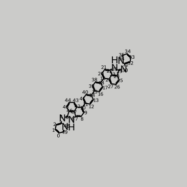 c1ccc(/N=C2\Nc3ccc(-c4ccc(-c5ccc(-c6ccc7c8c(cccc68)/C(=N/c6ccccn6)N7)cc5)cc4)c4cccc2c34)nc1